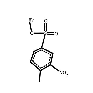 Cc1ccc(S(=O)(=O)OC(C)C)cc1[N+](=O)[O-]